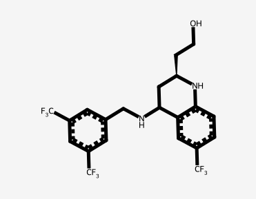 OCC[C@@H]1CC(NCc2cc(C(F)(F)F)cc(C(F)(F)F)c2)c2cc(C(F)(F)F)ccc2N1